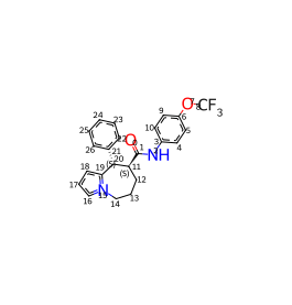 O=C(Nc1ccc(OC(F)(F)F)cc1)[C@H]1CCCn2cccc2[C@@H]1c1ccccc1